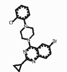 Clc1ccccc1N1CCN(c2nc(C3CC3)nc3ccc(Br)cc23)CC1